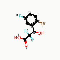 O=C(O)C(F)(F)C(O)c1cc(F)ccc1Br